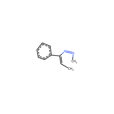 C/C=C(\N=N/C)c1ccccc1